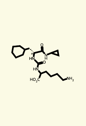 NCCCCC(NC(=O)N[C@H](CC1CCCCC1)C(=O)NC1CC1)C(=O)O